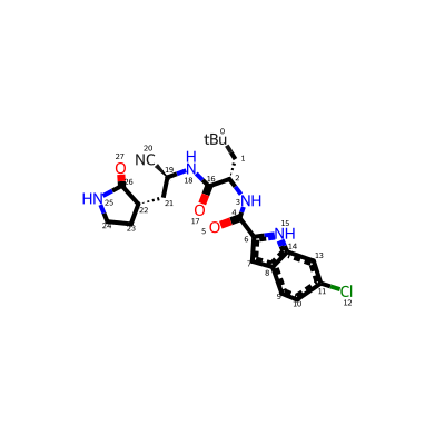 CC(C)(C)C[C@H](NC(=O)c1cc2ccc(Cl)cc2[nH]1)C(=O)N[C@H](C#N)C[C@@H]1CCNC1=O